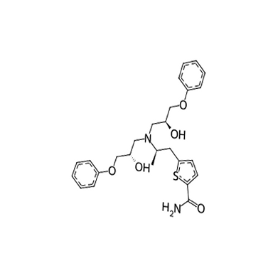 C[C@H](Cc1ccc(C(N)=O)s1)N(C[C@H](O)COc1ccccc1)C[C@H](O)COc1ccccc1